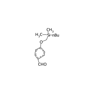 CCCC[Si](C)(C)COc1ccc(C=O)cc1